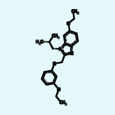 CCOc1cccc(OCc2nc3ccc(OCC)cc3n2CC(C)C)c1